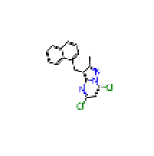 Cc1nn2c(Cl)cc(Cl)nc2c1Cc1cccc2ccccc12